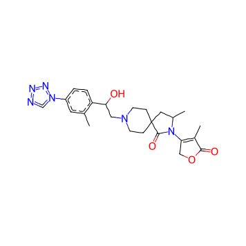 CC1=C(N2C(=O)C3(CCN(CC(O)c4ccc(-n5cnnn5)cc4C)CC3)CC2C)COC1=O